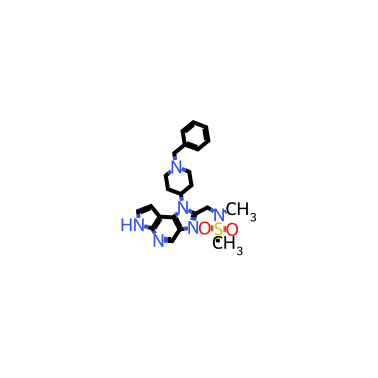 CN(Cc1nc2cnc3[nH]ccc3c2n1C1CCN(Cc2ccccc2)CC1)S(C)(=O)=O